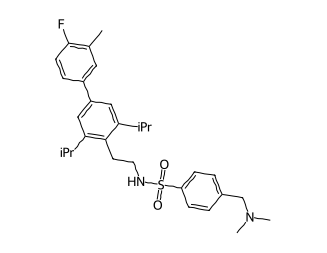 Cc1cc(-c2cc(C(C)C)c(CCNS(=O)(=O)c3ccc(CN(C)C)cc3)c(C(C)C)c2)ccc1F